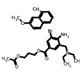 C.CCN(CC)Cc1cc(C(=O)OCCCOC(C)=O)cc(Br)c1N.COc1ccc2ccccc2c1